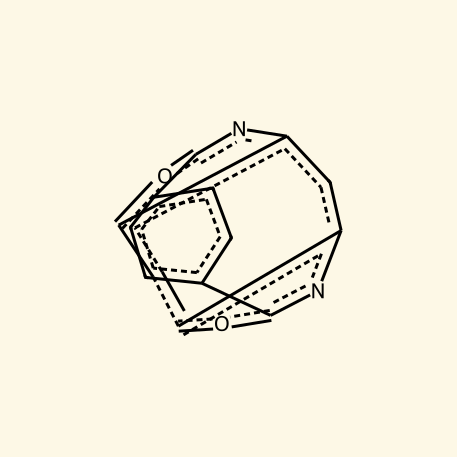 c1cc2ccc1-c1nc3cc4nc-2oc4cc3o1